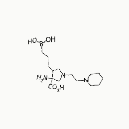 NC1(C(=O)O)CN(CCN2CCCCC2)CC1CCCB(O)O